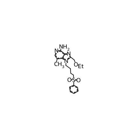 CCOCc1nc2c(N)ncc(C)c2n1CCCCS(=O)(=O)c1ccccc1